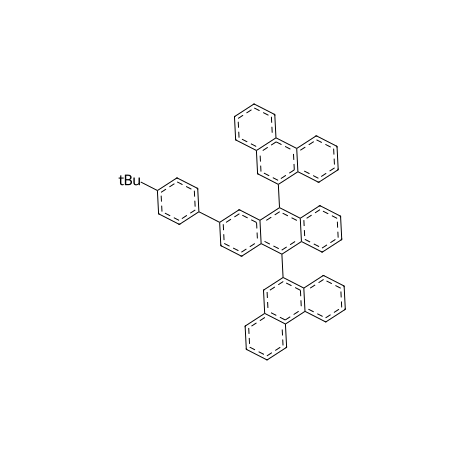 CC(C)(C)c1ccc(-c2ccc3c(-c4cc5ccccc5c5ccccc45)c4ccccc4c(-c4cc5ccccc5c5ccccc45)c3c2)cc1